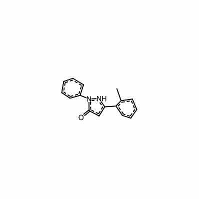 Cc1ccccc1-c1cc(=O)n(-c2ccccc2)[nH]1